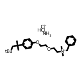 CC(C)(C)CC(C)(C)c1ccc(OCCOCC[N+](C)(C)Cc2ccccc2)cc1.Cl.N.[Cl-]